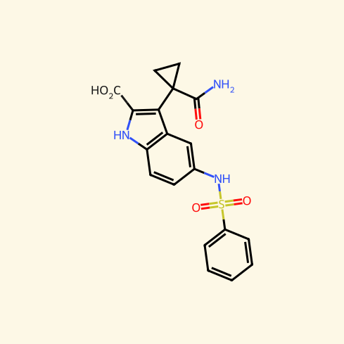 NC(=O)C1(c2c(C(=O)O)[nH]c3ccc(NS(=O)(=O)c4ccccc4)cc23)CC1